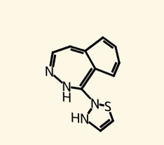 C1=CSN(C2=c3ccccc3=CC=NN2)N1